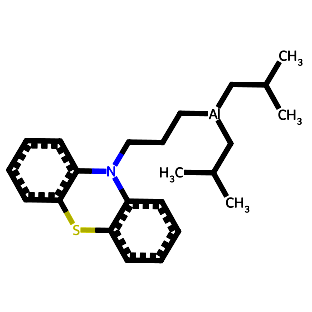 CC(C)[CH2][Al]([CH2]CCN1c2ccccc2Sc2ccccc21)[CH2]C(C)C